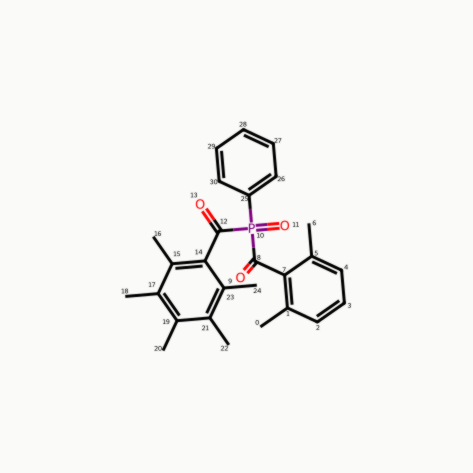 Cc1cccc(C)c1C(=O)P(=O)(C(=O)c1c(C)c(C)c(C)c(C)c1C)c1ccccc1